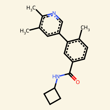 Cc1ccc(C(=O)NC2CCC2)cc1-c1cnc(C)c(C)c1